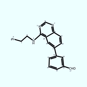 CC(C)CCNc1ncnc2ccc(-c3cccc(C=O)c3)cc12